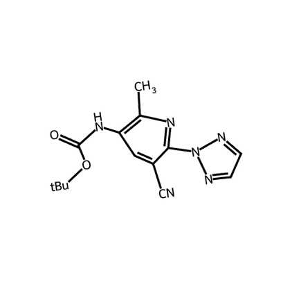 Cc1nc(-n2nccn2)c(C#N)cc1NC(=O)OC(C)(C)C